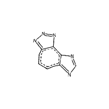 C1=Nc2c3c(ccc2=N1)=NN=N3